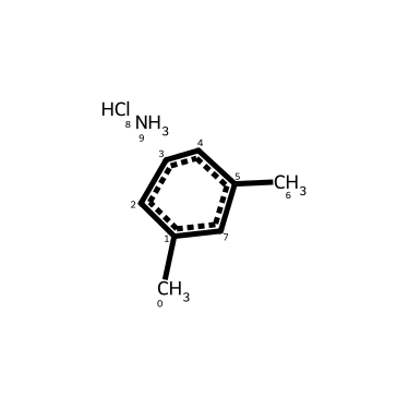 Cc1cccc(C)c1.Cl.N